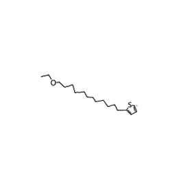 CCOCCCCCCCCCCCCc1cc[c]s1